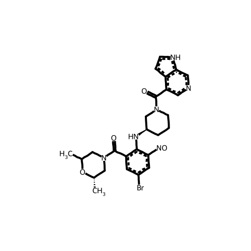 CC1CN(C(=O)c2cc(Br)cc(N=O)c2N[C@@H]2CCCN(C(=O)c3cncc4[nH]ccc34)C2)C[C@H](C)O1